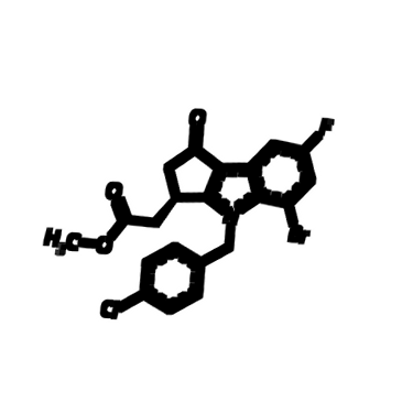 COC(=O)C[C@H]1CC(=O)c2c1n(Cc1ccc(Cl)cc1)c1c(Br)cc(F)cc21